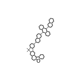 CC1(C)c2ccc(-c3ccc4cc(-c5c6ccccc6c(-c6ccc7ccccc7c6)c6ccccc56)ccc4c3)cc2-c2cc3c(ccc4oc5ccccc5c43)cc21